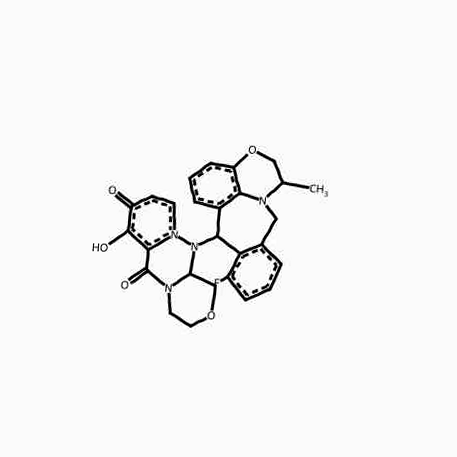 CC1COc2cccc3c2N1Cc1cccc(F)c1C3N1C2COCCN2C(=O)c2c(O)c(=O)ccn21